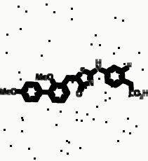 COc1ccc(-c2cccc(C=C3SC(Nc4ccc(CC(=O)O)c(F)c4)=NC3=O)c2OC)cc1